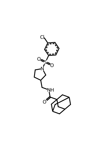 O=C(NCC1CCN(S(=O)(=O)c2cccc(Cl)c2)C1)C12CC3CC(CC(C3)C1)C2